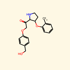 O=C(COc1ccc(CO)cc1)C1NCCC1Oc1ccccc1C(F)(F)F